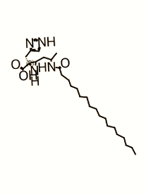 CCCCCCCCCCCCCCCCCC(=O)NC(C)CC1N[C@@]1(Cc1c[nH]cn1)C(=O)O